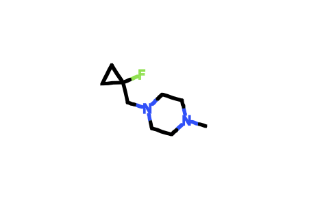 CN1CCN(CC2(F)CC2)CC1